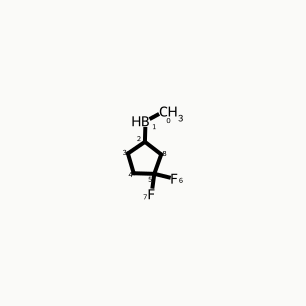 CBC1CCC(F)(F)C1